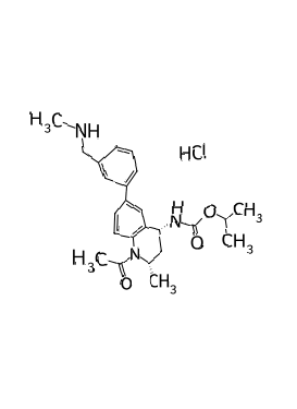 CNCc1cccc(-c2ccc3c(c2)[C@H](NC(=O)OC(C)C)C[C@H](C)N3C(C)=O)c1.Cl